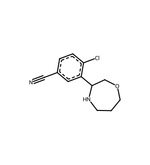 N#Cc1ccc(Cl)c(C2COCCCN2)c1